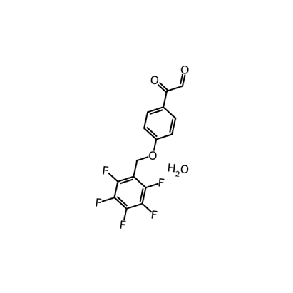 O.O=CC(=O)c1ccc(OCc2c(F)c(F)c(F)c(F)c2F)cc1